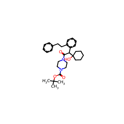 CC(C)(C)OC(=O)N1CCN(C(=O)C(c2ccccc2CCc2ccccc2)C2(O)CCCCC2)CC1